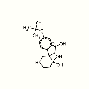 CC(C)(C)Oc1ccc(C2(CC(=O)O)CNCCS2(O)O)cc1